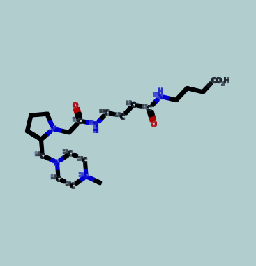 C[15N]1[13CH2][13CH2]N([13CH2]C2CCCN2C[13C](=O)[15NH][13CH2][13CH2][13CH2][13C](=O)[15NH]CCC[13C](=O)O)[13CH2][13CH2]1